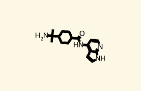 CC(C)(N)C1CCC(C(=O)Nc2ccnc3[nH]ccc23)CC1